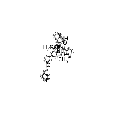 CC(C)c1cc(-c2cccc(OCCCc3ccncc3)c2)cc(C(C)C)c1NC(=O)N(CCc1ccccc1)c1cc2cccnc2[nH]c1=O